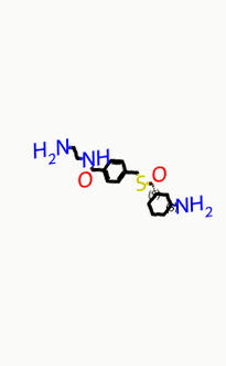 NCCNC(=O)c1ccc(CSC(=O)[C@H]2CCC[C@H](N)C2)cc1